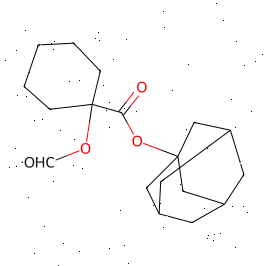 O=[C]OC1(C(=O)OC23CC4CC(CC(C4)C2)C3)CCCCC1